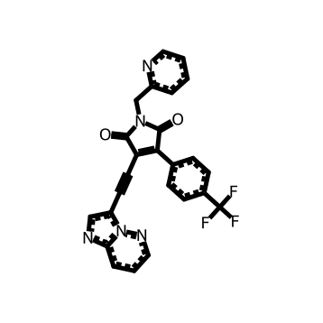 O=C1C(C#Cc2cnc3cccnn23)=C(c2ccc(C(F)(F)F)cc2)C(=O)N1Cc1ccccn1